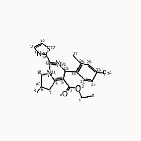 CCOC(=O)C1=C2C[C@@H](C)CN2C(c2nccs2)=NC1c1ccc(F)cc1C